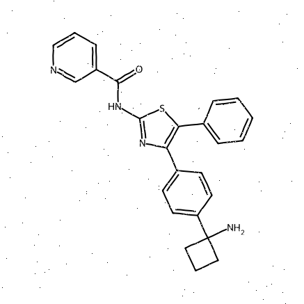 NC1(c2ccc(-c3nc(NC(=O)c4cccnc4)sc3-c3ccccc3)cc2)CCC1